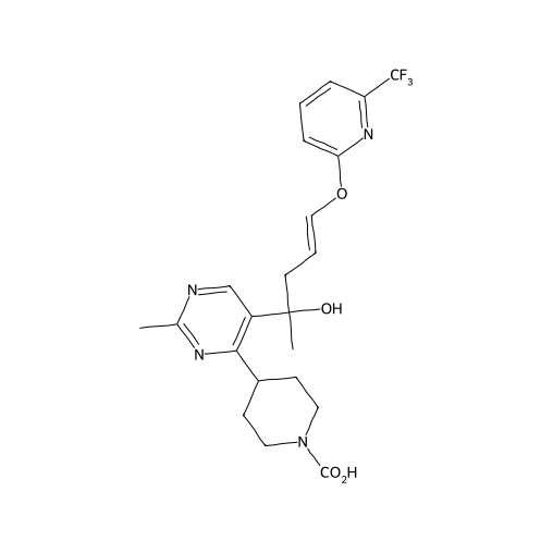 Cc1ncc(C(C)(O)CC=COc2cccc(C(F)(F)F)n2)c(C2CCN(C(=O)O)CC2)n1